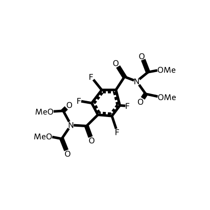 COC(=O)N(C(=O)OC)C(=O)c1c(F)c(F)c(C(=O)N(C(=O)OC)C(=O)OC)c(F)c1F